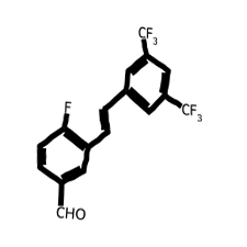 O=Cc1ccc(F)c(/C=C/c2cc(C(F)(F)F)cc(C(F)(F)F)c2)c1